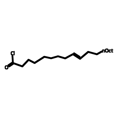 CCCCCCCCCCC=CCCCCCCCC(=O)Cl